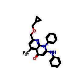 O=c1cc(Nc2ccccc2)n(-c2ccccc2)c2nc(COCC3CC3)cc(C(F)(F)F)c12